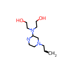 C=CCN1CC[N]C(N(CCO)CCO)C1